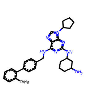 COc1ccccc1-c1ccc(CNc2nc(NC3CCCC(N)C3)nc3c2ncn3C2CCCC2)cc1